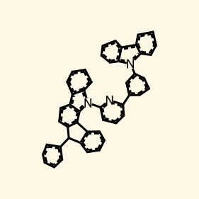 c1ccc(C2c3ccccc3-c3c2ccc2c4ccccc4n(-c4cccc(-c5cccc(-n6c7ccccc7c7ccccc76)c5)n4)c32)cc1